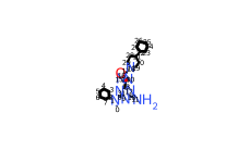 CN(c1ccccc1)c1nc(N)nc(-c2noc(N3CCC(c4ccccc4)CC3)n2)n1